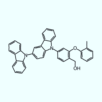 Cc1ccccc1Oc1cc(-n2c3ccccc3c3cc(-n4c5ccccc5c5ccccc54)ccc32)ccc1CO